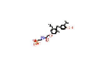 Cc1cc(OCC(=O)NCCS(=O)(=O)[O-])cc(C)c1Cc1ccc(O)c(C(C)C)c1.[Na+]